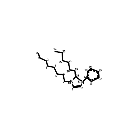 CCCCCCCCN1C=CN(c2ccccc2)C1CCCCCC